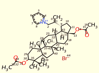 C=C(C[n+]1ccccc1)[C@@H]1CC[C@]2(COC(C)=O)CC[C@]3(C)[C@H](CCC4[C@@]5(C)CCC(OC(C)=O)C(C)(C)[C@@H]5CC[C@]43C)[C@@H]12.[Br-]